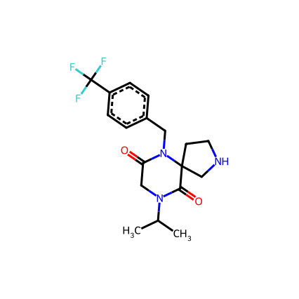 CC(C)N1CC(=O)N(Cc2ccc(C(F)(F)F)cc2)C2(CCNC2)C1=O